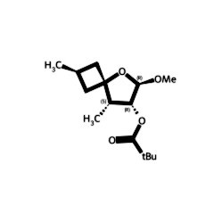 CO[C@@H]1O[C@]2(C[C@H](C)C2)[C@@H](C)[C@H]1OC(=O)C(C)(C)C